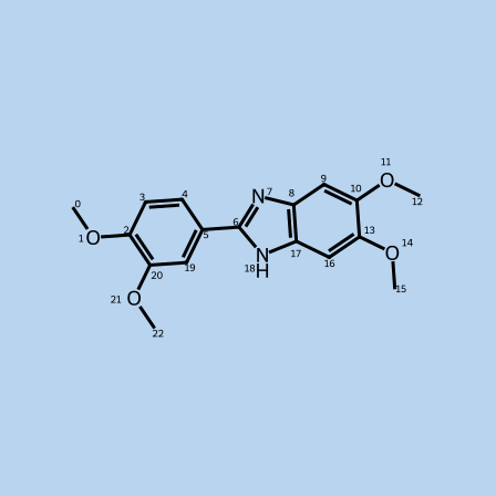 COc1ccc(-c2nc3cc(OC)c(OC)cc3[nH]2)cc1OC